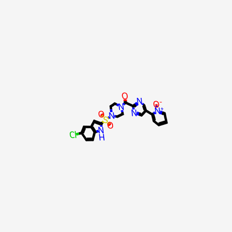 O=C(c1ncc(-c2cccc[n+]2[O-])cn1)N1CCN(S(=O)(=O)c2cc3cc(Cl)ccc3[nH]2)CC1